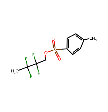 Cc1ccc(S(=O)(=O)OCC(F)(F)C(C)(F)F)cc1